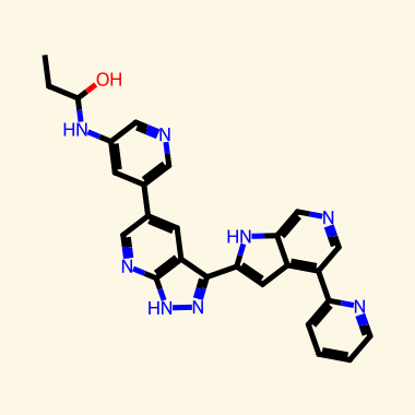 CCC(O)Nc1cncc(-c2cnc3[nH]nc(-c4cc5c(-c6ccccn6)cncc5[nH]4)c3c2)c1